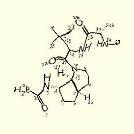 BC(=O)N[C@H]1CC[C@@H]2CCN(C(=O)C(NC(=O)[C@H](C)NC)C(C)(C)C)[C@@H]21